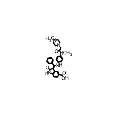 CN1CCN(CC(=O)N(C)c2ccc(NC(=C3C(=O)Nc4ccc(C(=O)O)cc43)c3ccccc3)cc2)CC1